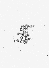 CCC[C@@H]1CN[C@H](C(=O)N[C@H](C(C)C)[C@H]2O[C@H](CO)[C@H](O)[C@@H](O)[C@H]2O)C1